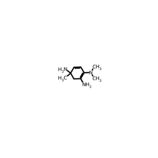 CN(C)C1=C(N)CC(C)(N)C=C1